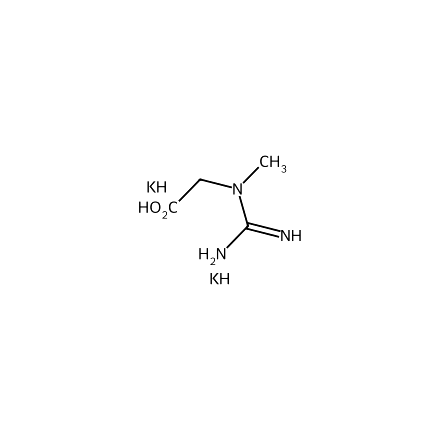 CN(CC(=O)O)C(=N)N.[KH].[KH]